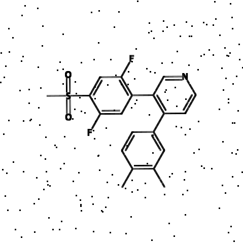 Cc1ccc(-c2ccncc2-c2cc(F)c(S(C)(=O)=O)cc2F)cc1C